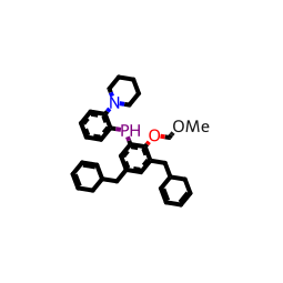 COCOc1c(CC2C=CC=CC2)cc(CC2C=CC=CC2)cc1Pc1ccccc1N1CCCCC1